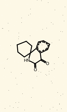 O=C1NC2(CCCCC2)c2ccccc2C1=O